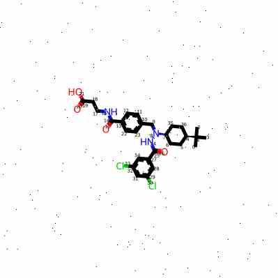 CC(C)(C)[C@H]1CC[C@@H](N(Cc2ccc(C(=O)NCCC(=O)O)cc2)NC(=O)c2cc(Cl)cc(Cl)c2)CC1